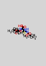 CC(C)(C)OC(=O)Nc1nc(/C(=N\OC(C)(C)C(=O)OC(C)(C)C)C(=O)O)cs1